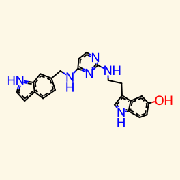 Oc1ccc2[nH]cc(CCNc3nccc(NCc4ccc5cc[nH]c5c4)n3)c2c1